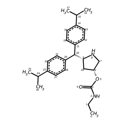 CCNC(=O)O[C@H]1CN[C@@H](C(c2ccc(C(C)C)cc2)c2ccc(C(C)C)cc2)C1